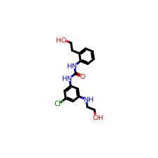 O=C(Nc1cc(Cl)cc(NCCO)c1)Nc1ccccc1CCO